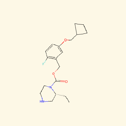 CC[C@@H]1CNCCN1C(=O)OCc1cc(OCC2CCC2)ccc1F